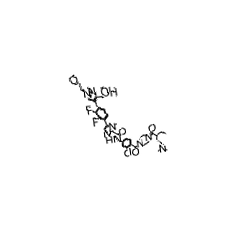 CCC(CCN(C)C)C(=O)N1CCN(C(=O)c2ccc(NC(=O)c3ncc(-c4ccc(-c5cn(CCOC)nc5CO)c(F)c4F)n3C)cc2Cl)CC1